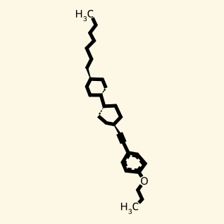 CCCCCCC[C@H]1CC[C@H]([C@H]2CC[C@H](C#Cc3ccc(OCCC)cc3)CC2)CC1